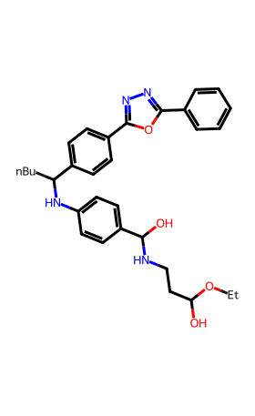 CCCCC(Nc1ccc(C(O)NCCC(O)OCC)cc1)c1ccc(-c2nnc(-c3ccccc3)o2)cc1